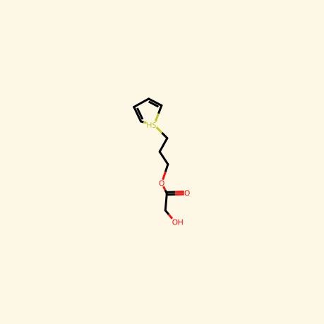 O=C(CO)OCCC[SH]1C=CC=C1